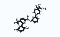 COc1ccc(Cl)cc1-c1nc(NSc2cccc(N3CCC(C)(C(=O)O)CC3)n2)ccc1C(F)(F)F